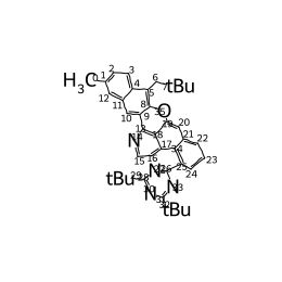 Cc1ccc2c(CC(C)(C)C)c3c(cc2c1)-c1nccc2c1c(cc1cccc(-c4nc(C(C)(C)C)nc(C(C)(C)C)n4)c12)O3